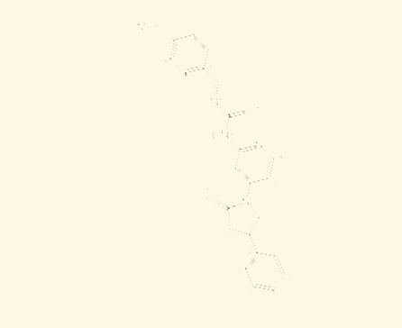 COc1ccc(CNC(=O)Nc2cc(N3CC(c4ccccc4)CC3=O)ccn2)cc1